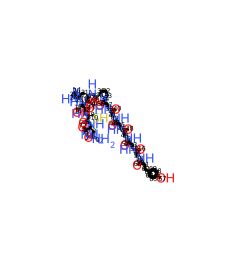 NC(=O)C[C@H](NC(=O)[C@H](CS)NC(=O)[C@H](CO)NC(=O)[C@H](Cc1c[nH]cn1)NC(=O)[C@@H]1CCCN1C(=O)CNC(=O)CNC(=O)CNC(=O)CNC(=O)CNC(=O)CNC(=O)CCc1ccc(O)cc1)C(N)=O